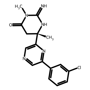 CN1C(=N)N[C@](C)(c2cncc(-c3cccc(Cl)c3)n2)CC1=O